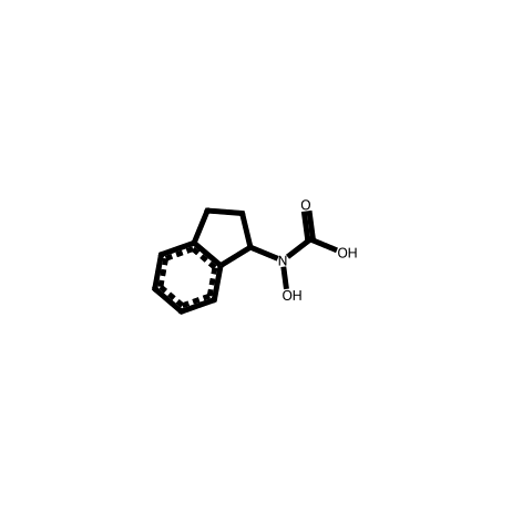 O=C(O)N(O)C1CCc2ccccc21